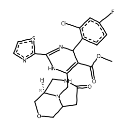 COC(=O)C1=C(CN2C3COC[C@H]2CNC(=O)C3)NC(c2nccs2)=NC1c1ccc(F)cc1Cl